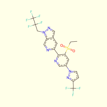 CCS(=O)(=O)c1cc(-n2ccc(C(F)(F)F)n2)cnc1-c1cc2cnn(CC(F)(F)C(F)(F)F)c2cn1